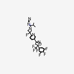 CC(C)/C(=N\C#N)N1CC(F)(c2ccc(C3=NOC(c4cc(F)c(F)c(F)c4)(C(F)(F)F)C3)cn2)C1